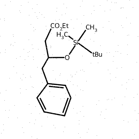 CCOC(=O)CC(Cc1ccccc1)O[Si](C)(C)C(C)(C)C